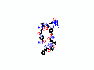 CNC(=O)C1CCN(C(=O)CCC(=O)N[C@H](C(=O)N[C@@H](CCCNC(N)=O)C(=O)Nc2ccc(CONC(=O)/C(C)=C/[C@@H](NC(=O)[C@@H](NC(=O)[C@@H](N(C)C)C(C)(C)c3ccccc3)C(C)(C)C)C(C)C)cc2)C(C)C)CC1